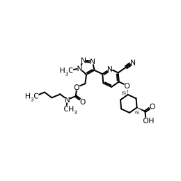 CCCCN(C)C(=O)OCc1c(-c2ccc(O[C@H]3CCC[C@H](C(=O)O)C3)c(C#N)n2)nnn1C